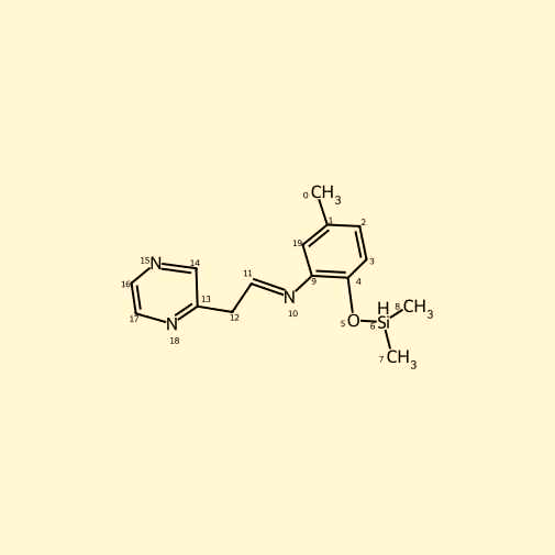 Cc1ccc(O[SiH](C)C)c(N=CCc2cnccn2)c1